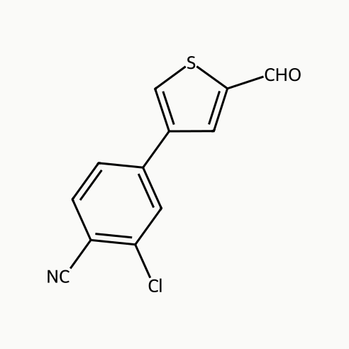 N#Cc1ccc(-c2csc(C=O)c2)cc1Cl